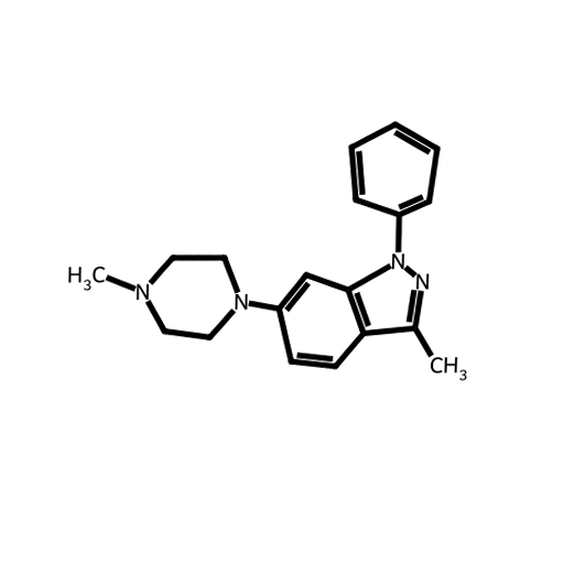 Cc1nn(-c2ccccc2)c2cc(N3CCN(C)CC3)ccc12